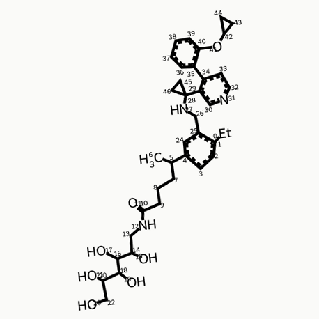 CCc1ccc(C(C)CCCC(=O)NCC(O)C(O)C(O)C(O)CO)cc1CNC1(c2cnccc2-c2ccccc2OC2CC2)CC1